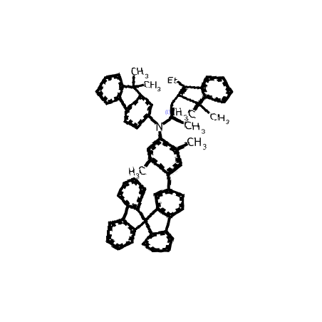 CCC1=C(/C=C(\C)N(c2ccc3c(c2)C(C)(C)c2ccccc2-3)c2cc(C)c(-c3ccc4c(c3)C3(c5ccccc5-c5ccccc53)c3ccccc3-4)cc2C)C(C)(C)c2ccccc21